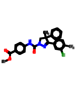 CC(C)OC(=O)c1ccc(NC(=O)N2CC(C)(c3ccccc3)C(c3ccc(C(F)(F)F)c(Cl)c3)=N2)cc1